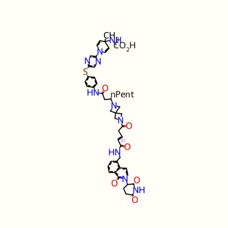 CCCCCC(CC(=O)Nc1ccc(Sc2cnc(N3C=CC(C)(NC(=O)O)C=C3)cn2)cc1)N1CC2(CN(C(=O)C/C=C/C(=O)NCc3cccc4c(=O)n(C5CCC(=O)NC5=O)ccc34)C2)C1